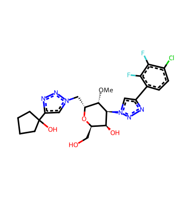 CO[C@@H]1[C@@H](n2cc(-c3ccc(Cl)c(F)c3F)nn2)[C@@H](O)[C@@H](CO)O[C@@H]1Cn1cc(C2(O)CCCC2)nn1